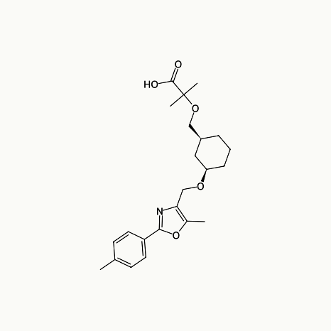 Cc1ccc(-c2nc(CO[C@@H]3CCC[C@H](COC(C)(C)C(=O)O)C3)c(C)o2)cc1